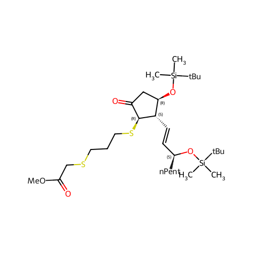 CCCCC[C@@H](C=C[C@H]1[C@H](O[Si](C)(C)C(C)(C)C)CC(=O)[C@@H]1SCCCSCC(=O)OC)O[Si](C)(C)C(C)(C)C